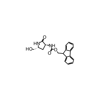 O=C(N[C@H]1C[C@H](CO)NC1=O)OCC1c2ccccc2-c2ccccc21